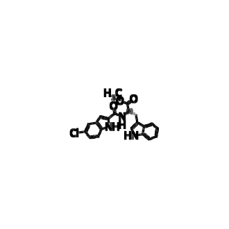 COC(=O)[C@H](Cc1c[nH]c2ccccc12)NC(=O)c1cc2cc(Cl)ccc2[nH]1